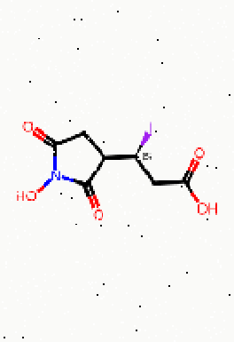 O=C(O)C[C@H](I)C1CC(=O)N(O)C1=O